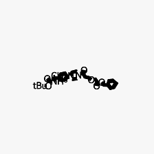 C[C@H](NC(=O)OC(C)(C)C)c1ccc(N2CCN(C(=O)CCOCC(=O)OCc3ccccc3)CC2)cc1